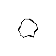 [C]1=C/CC/C=C/CC/C=C/C=C/C/1